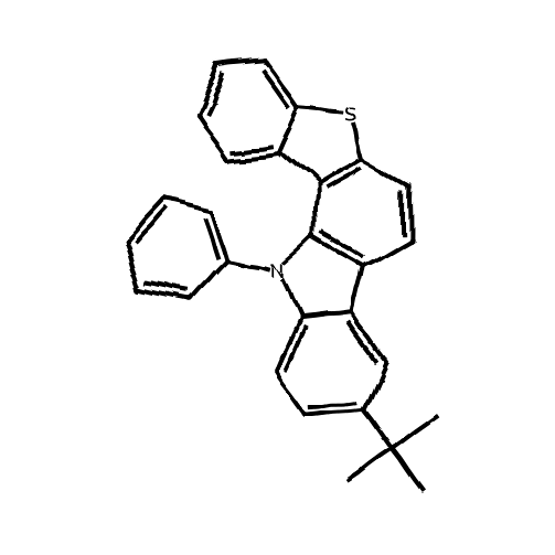 CC(C)(C)c1ccc2c(c1)c1ccc3sc4ccccc4c3c1n2-c1ccccc1